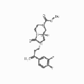 C=C(CC[C@H]1C[C@H]2CN(C(=O)OC(C)(C)C)CCN2C1=O)c1ccc(F)c(F)c1